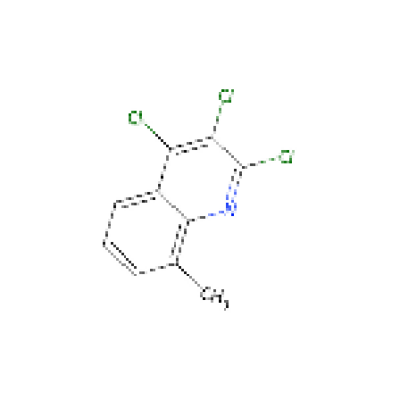 Cc1cccc2c(Cl)c(Cl)c(Cl)nc12